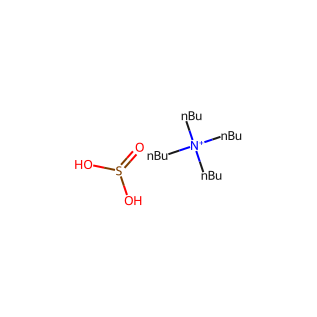 CCCC[N+](CCCC)(CCCC)CCCC.O=S(O)O